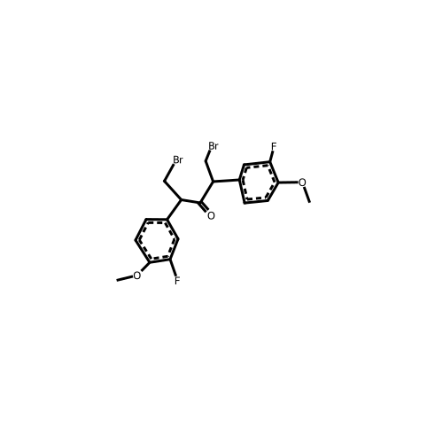 COc1ccc(C(CBr)C(=O)C(CBr)c2ccc(OC)c(F)c2)cc1F